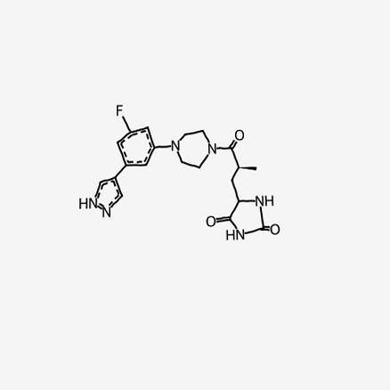 C[C@@H](CC1NC(=O)NC1=O)C(=O)N1CCN(c2cc(F)cc(-c3cn[nH]c3)c2)CC1